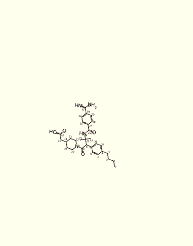 CCCCc1ccc(C(C(=O)N2CCC(CC(=O)O)CC2)C(C)(C)NC(=O)c2ccc(C(=N)N)cc2)cc1